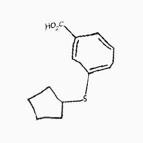 O=C(O)c1cccc(SC2CCCC2)c1